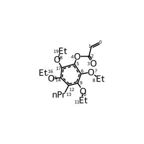 C=CC(=O)Oc1c(OCC)c(OCC)c(CCC)c(OCC)c1OCC